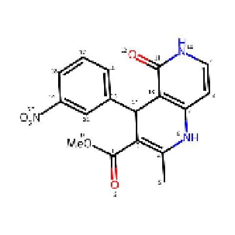 COC(=O)C1=C(C)Nc2cc[nH]c(=O)c2C1c1cccc([N+](=O)[O-])c1